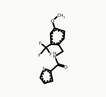 COc1ccc(CNC(=O)c2cccs2)c(C(F)(F)F)c1